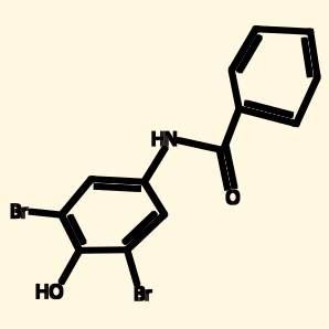 O=C(Nc1cc(Br)c(O)c(Br)c1)c1ccccc1